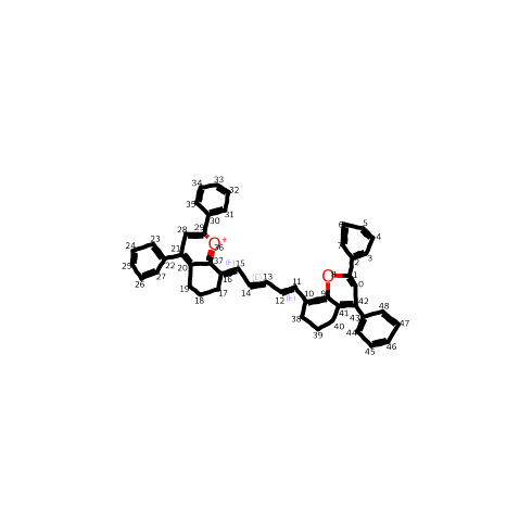 C1=C(c2ccccc2)OC2=C(/C=C/C=C/C=C3\CCCc4c(-c5ccccc5)cc(-c5ccccc5)[o+]c43)CCCC2=C1c1ccccc1